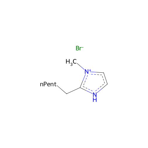 CCCCCCc1[nH]cc[n+]1C.[Br-]